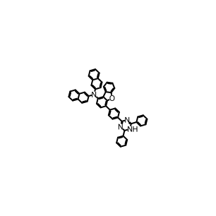 c1ccc(C2=NC(c3ccc(-c4ccc(N(c5ccc6ccccc6c5)c5ccc6ccccc6c5)c5c4oc4ccccc45)cc3)=NC(c3ccccc3)N2)cc1